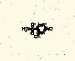 NS(=O)(=O)c1cnc(Cl)nc1Cl